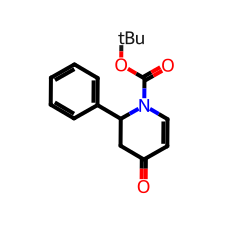 CC(C)(C)OC(=O)N1C=CC(=O)CC1c1ccccc1